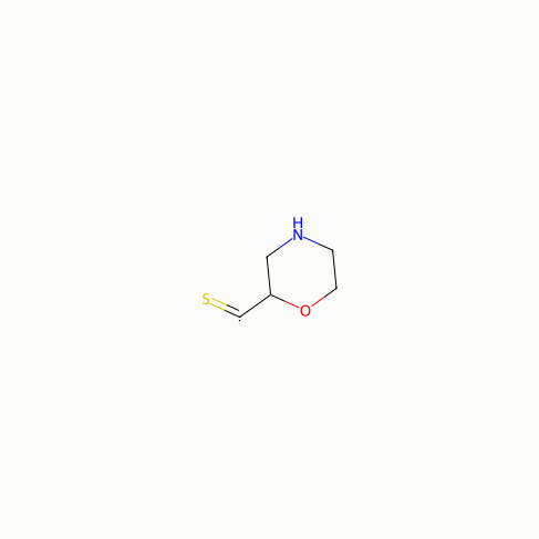 S=[C]C1CNCCO1